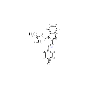 CC(C)CCn1c(/C=C/c2ccc(Cl)cc2)nc2ccccc21